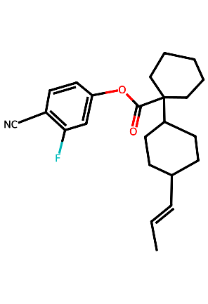 C/C=C/C1CCC(C2(C(=O)Oc3ccc(C#N)c(F)c3)CCCCC2)CC1